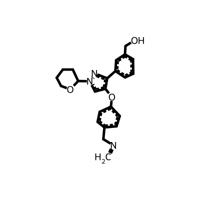 C=NCc1ccc(Oc2cn(C3CCCCO3)nc2-c2cccc(CO)c2)cc1